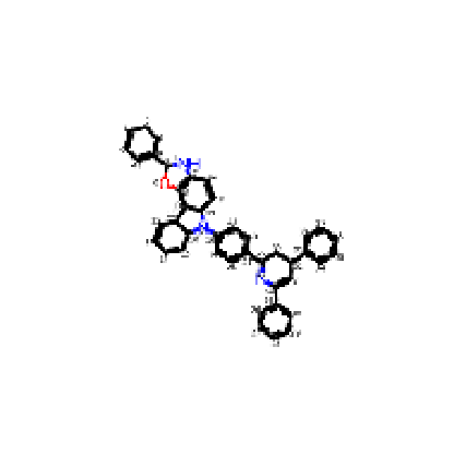 C1=CCCC(C2NC3=C(O2)C2C4C=CC=CC4N(c4ccc(C5=NC(c6ccccc6)=CC(c6ccccc6)C5)cc4)C2C=C3)=C1